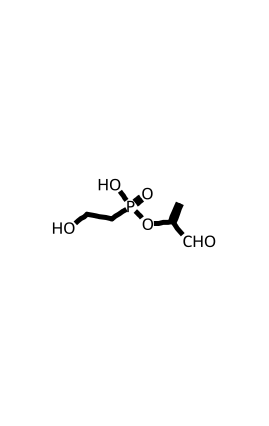 C=C(C=O)OP(=O)(O)CCO